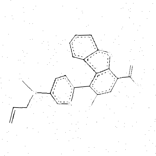 C=CCN(C)c1ccc(-c2c(F)cc(C(N)=O)c3[nH]c4ccccc4c23)nc1